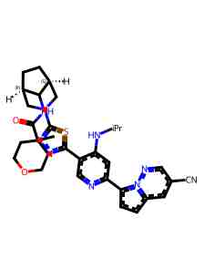 CC(C)Nc1cc(-c2ccc3cc(C#N)cnn23)ncc1-c1nnc(N2C[C@H]3CC[C@@H](C2)C3NC(=O)C2(C)CCOCC2)s1